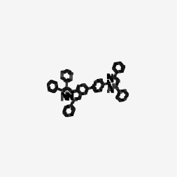 c1ccc(-c2cc(-c3ccccc3)nc(-c3ccc(-c4ccc5c(c4)cc(-c4ccccc4)n4nc(-c6ccccc6)c(-c6ccccc6)c54)cc3)n2)cc1